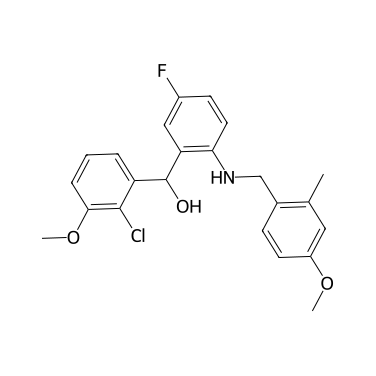 COc1ccc(CNc2ccc(F)cc2C(O)c2cccc(OC)c2Cl)c(C)c1